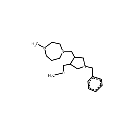 COCC1CN(Cc2ccccc2)CC1CN1CCCN(C)CC1